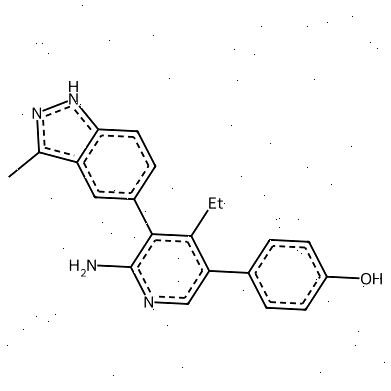 CCc1c(-c2ccc(O)cc2)cnc(N)c1-c1ccc2[nH]nc(C)c2c1